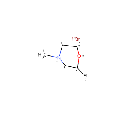 Br.CCC1CN(C)CCO1